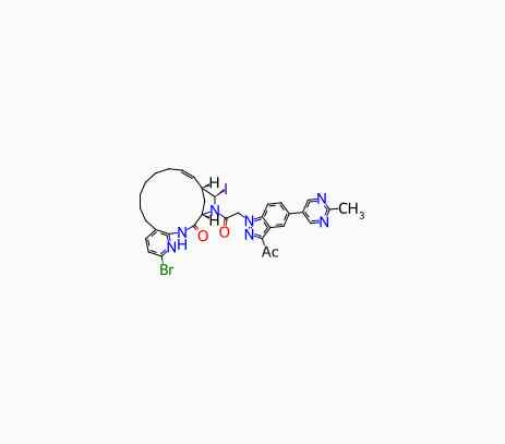 CC(=O)c1nn(CC(=O)N2[C@H](I)[C@H]3/C=C\CCCCCCc4ccc(Br)nc4NC(=O)[C@@H]2C3)c2ccc(-c3cnc(C)nc3)cc12